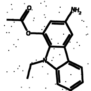 CCn1c2ccccc2c2cc(N)cc(OC(C)=O)c21